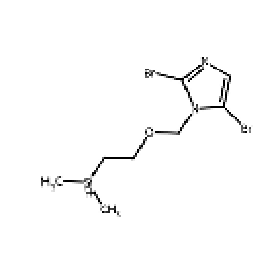 C[SiH](C)CCOCn1c(Br)cnc1Br